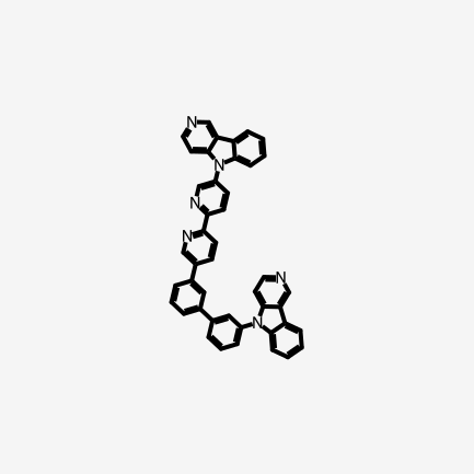 c1cc(-c2ccc(-c3ccc(-n4c5ccccc5c5cnccc54)cn3)nc2)cc(-c2cccc(-n3c4ccccc4c4cnccc43)c2)c1